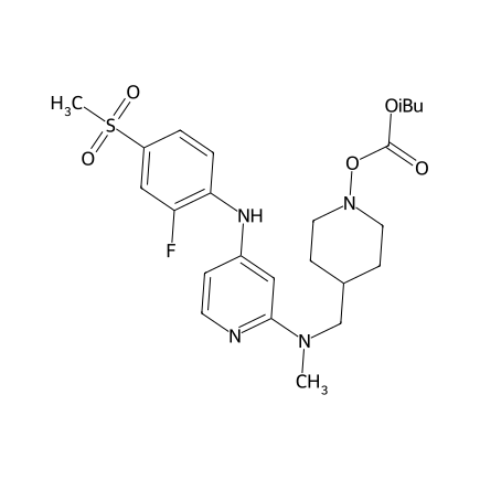 CC(C)COC(=O)ON1CCC(CN(C)c2cc(Nc3ccc(S(C)(=O)=O)cc3F)ccn2)CC1